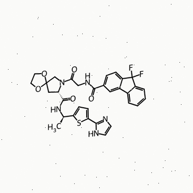 C[C@@H](NC(=O)[C@@H]1CC2(CN1C(=O)CNC(=O)c1ccc3c(c1)-c1ccccc1C3(F)F)OCCO2)c1ccc(-c2ncc[nH]2)s1